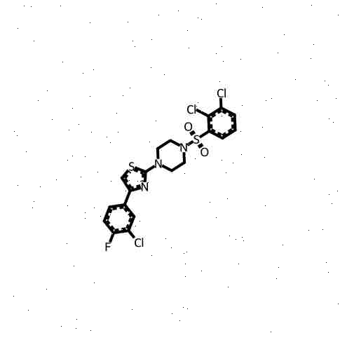 O=S(=O)(c1cccc(Cl)c1Cl)N1CCN(c2nc(-c3ccc(F)c(Cl)c3)cs2)CC1